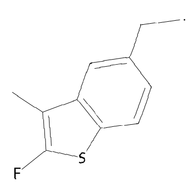 [CH2]Cc1ccc2sc(F)c(C)c2c1